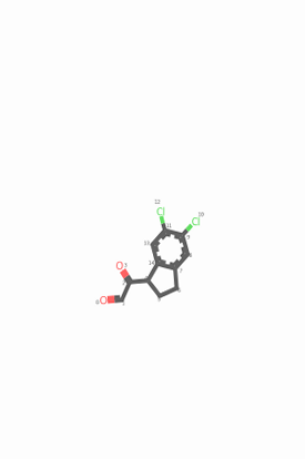 O=CC(=O)C1CCc2cc(Cl)c(Cl)cc21